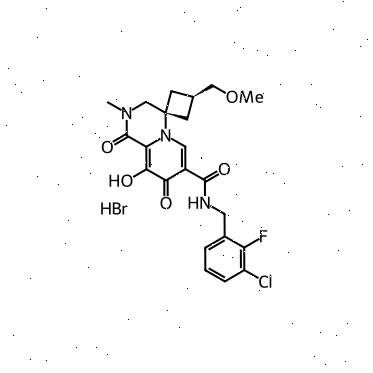 Br.COC[C@H]1C[C@@]2(CN(C)C(=O)c3c(O)c(=O)c(C(=O)NCc4cccc(Cl)c4F)cn32)C1